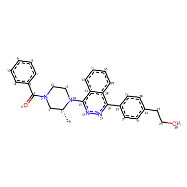 C[C@@H]1CN(C(=O)c2ccccc2)CCN1c1nnc(-c2ccc(CCO)cc2)c2ccccc12